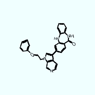 O=C1Nc2ccccc2Nc2cc(-c3cn(CCOc4ccccc4)c4cnccc34)ccc21